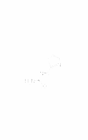 NC(=O)[N]Cc1nccs1